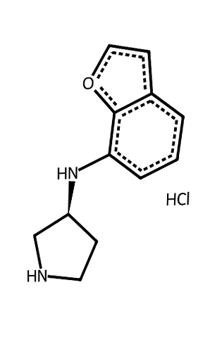 Cl.c1cc(N[C@H]2CCNC2)c2occc2c1